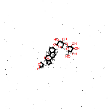 C[C@@H]1O[C@@H](O[C@H]2CC[C@@]3(C)[C@H](CC[C@@H]4[C@@H]3CC[C@]3(C)[C@@H](C5=CC(=O)OC5)CC[C@]43O)C2)[C@H](O)[C@H](O)[C@H]1O[C@@H]1O[C@H](CO)[C@@H](O)[C@H](O)[C@H]1O